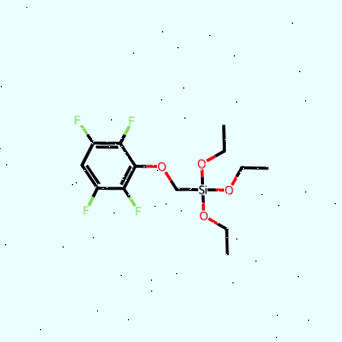 CCO[Si](COc1c(F)c(F)cc(F)c1F)(OCC)OCC